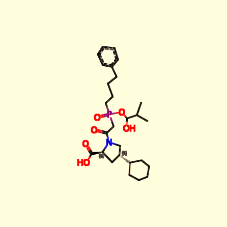 CC(C)C(O)OP(=O)(CCCCc1ccccc1)CC(=O)N1C[C@H](C2CCCCC2)C[C@H]1C(=O)O